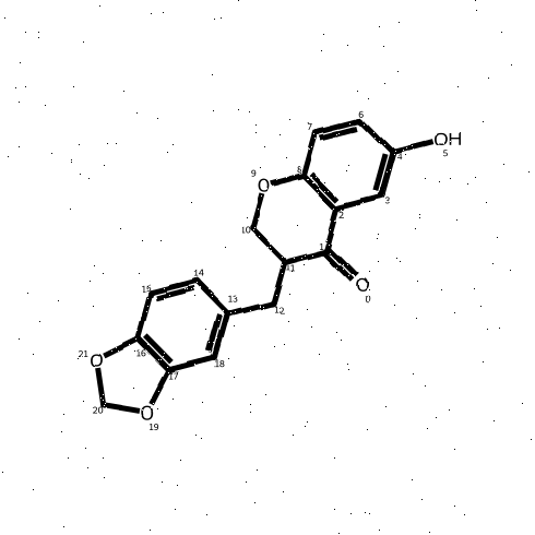 O=C1c2cc(O)ccc2OCC1Cc1ccc2c(c1)OCO2